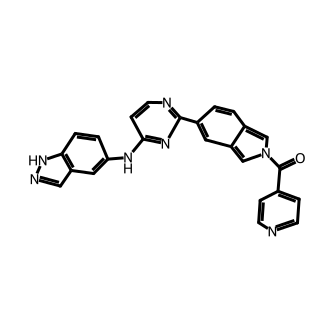 O=C(c1ccncc1)n1cc2ccc(-c3nccc(Nc4ccc5[nH]ncc5c4)n3)cc2c1